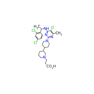 Cc1nc(N2CCC(C3CCCN(CCC(=O)O)C3)CC2)nc(NC(C)c2ccc(Cl)cc2Cl)c1Cl